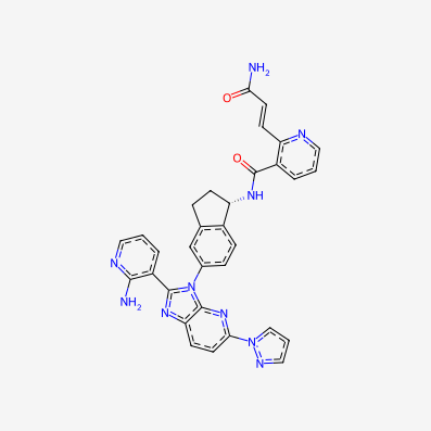 NC(=O)/C=C/c1ncccc1C(=O)N[C@H]1CCc2cc(-n3c(-c4cccnc4N)nc4ccc(-n5cccn5)nc43)ccc21